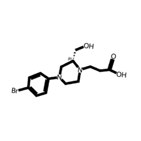 O=C(O)CCN1CCN(c2ccc(Br)cc2)C[C@@H]1CO